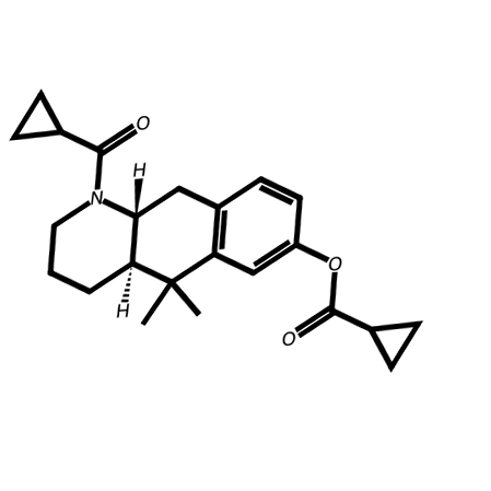 CC1(C)c2cc(OC(=O)C3CC3)ccc2C[C@@H]2[C@@H]1CCCN2C(=O)C1CC1